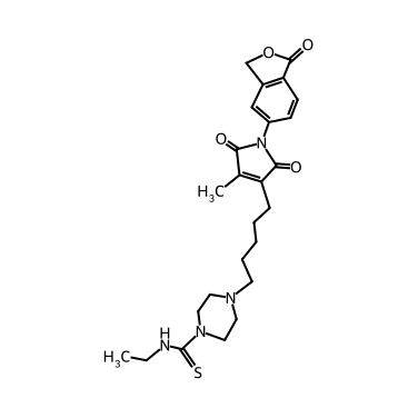 CCNC(=S)N1CCN(CCCCCC2=C(C)C(=O)N(c3ccc4c(c3)COC4=O)C2=O)CC1